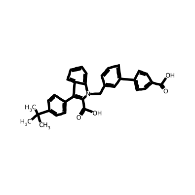 CC(C)(C)c1ccc(-c2c(C(=O)O)n(Cc3cccc(-c4ccc(C(=O)O)cc4)c3)c3ccccc23)cc1